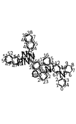 c1ccc(-n2c3ccccc3c3cc4c5ccccc5n(-c5cccc6oc7cc(C8N=C(c9ccc%10ccccc%10c9)N=C(c9ccc%10ccccc%10c9)N8)ccc7c56)c4cc32)cc1